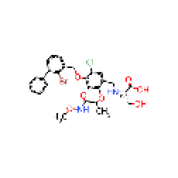 CONC(=O)C(C)Oc1cc(OCc2cccc(-c3ccccc3)c2Br)c(Cl)cc1CN[C@@H](CO)C(=O)O